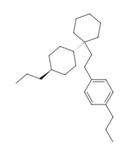 CCCc1ccc(CCC2([C@H]3CC[C@H](CCC)CC3)CCCCC2)cc1